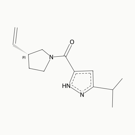 C=C[C@H]1CCN(C(=O)c2cc(C(C)C)n[nH]2)C1